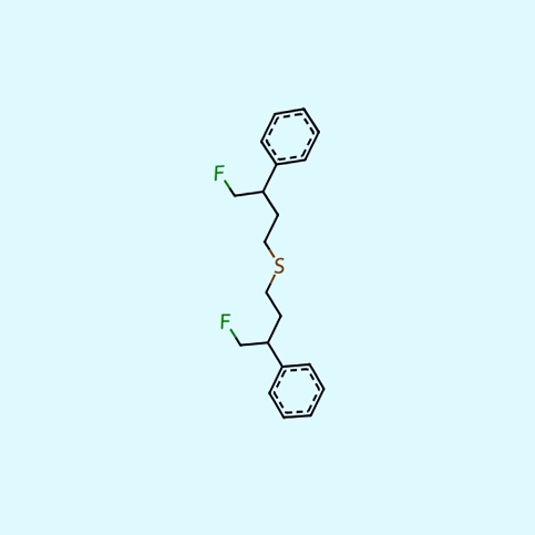 FCC(CCSCCC(CF)c1ccccc1)c1ccccc1